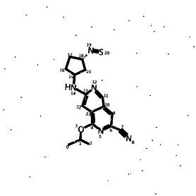 CC(C)Oc1nc(C#N)cc2cnc(NC3CC[C@H](N=S)C3)cc12